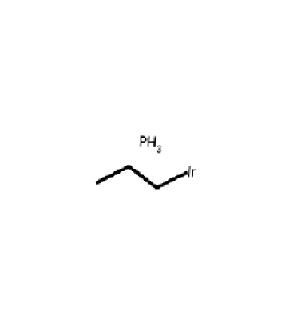 CC[CH2][Ir].P